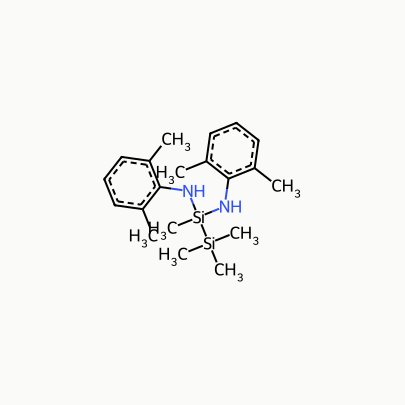 Cc1cccc(C)c1N[Si](C)(Nc1c(C)cccc1C)[Si](C)(C)C